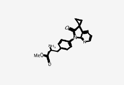 COC(=O)C(N)Cc1ccc(N2C(=O)C3(CC3)c3cccnc32)cc1